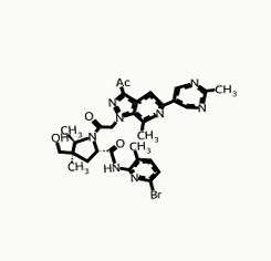 CC(=O)c1nn(CC(=O)N2[C@H](C(=O)Nc3nc(Br)ccc3C)C[C@@](C)(CO)[C@H]2C)c2c(C)nc(-c3cnc(C)nc3)cc12